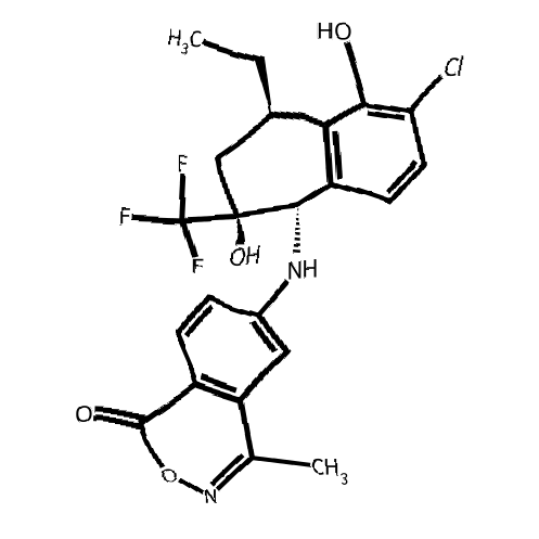 CC[C@@H]1C[C@@](O)(C(F)(F)F)[C@@H](Nc2ccc3c(=O)onc(C)c3c2)c2ccc(Cl)c(O)c21